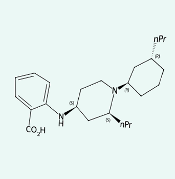 CCC[C@@H]1CCC[C@@H](N2CC[C@H](Nc3ccccc3C(=O)O)C[C@@H]2CCC)C1